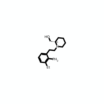 CCc1cccc(CCN2CCCC[C@H]2CO)c1P